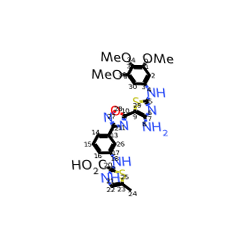 COc1cc(Nc2nc(N)c(-c3nc(-c4cccc(NC5(C(=O)O)NC=C(C)S5)c4)no3)s2)cc(OC)c1OC